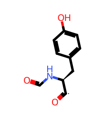 O=[C][C@H](Cc1ccc(O)cc1)NC=O